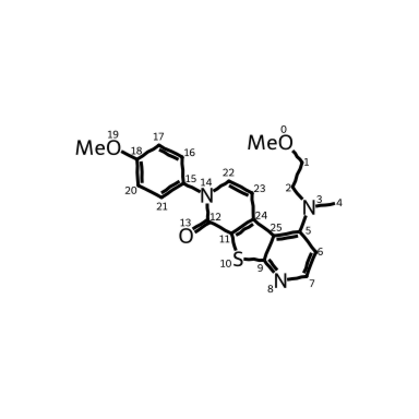 COCCN(C)c1ccnc2sc3c(=O)n(-c4ccc(OC)cc4)ccc3c12